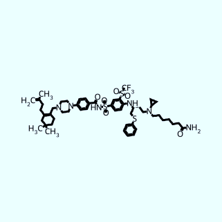 C=C(C)CCC1=C(CN2CCN(c3ccc(C(=O)NS(=O)(=O)c4ccc(N[C@H](CCN(CCCCCCC(N)=O)C5CC5)CSc5ccccc5)c(S(=O)(=O)C(F)(F)F)c4)cc3)CC2)CCC(C)(C)C1